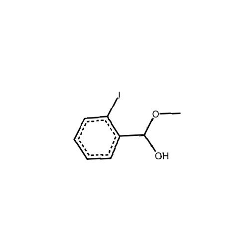 COC(O)c1ccccc1I